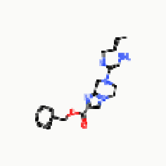 C/C=C/C=N\C(=C/N)N1CCn2cc(C(=O)OCc3ccccc3)nc2C1